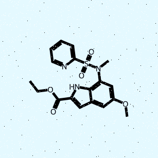 CCOC(=O)c1cc2cc(OC)cc(N(C)S(=O)(=O)c3ccccn3)c2[nH]1